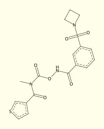 CN(C(=O)ONC(=O)c1cccc(S(=O)(=O)N2CCC2)c1)C(=O)c1ccsc1